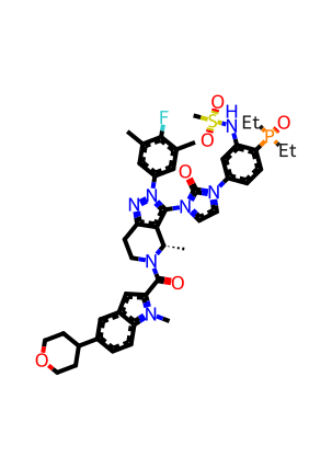 CCP(=O)(CC)c1ccc(-n2ccn(-c3c4c(nn3-c3cc(C)c(F)c(C)c3)CCN(C(=O)c3cc5cc(C6CCOCC6)ccc5n3C)[C@H]4C)c2=O)cc1NS(C)(=O)=O